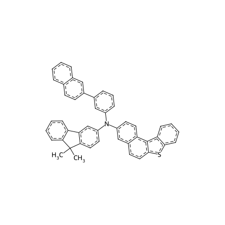 CC1(C)c2ccccc2-c2cc(N(c3cccc(-c4ccc5ccccc5c4)c3)c3ccc4c(ccc5sc6ccccc6c54)c3)ccc21